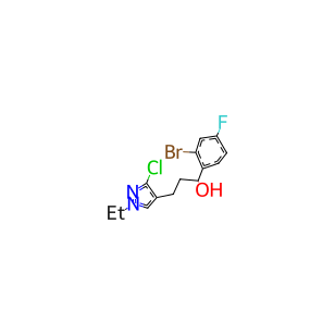 CCn1cc(CCC(O)c2ccc(F)cc2Br)c(Cl)n1